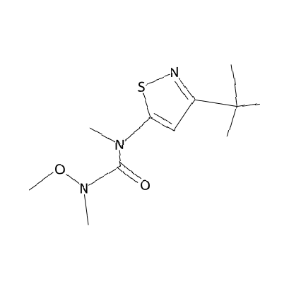 CON(C)C(=O)N(C)c1cc(C(C)(C)C)ns1